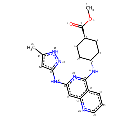 COC(=O)[C@H]1CC[C@H](Nc2nc(Nc3cc(C)[nH]n3)cc3ncccc23)CC1